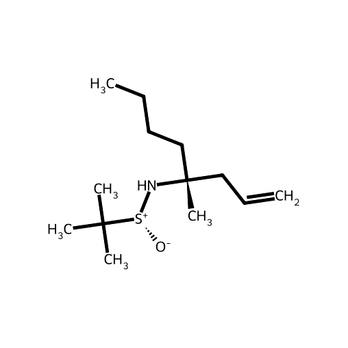 C=CC[C@@](C)(CCCC)N[S@+]([O-])C(C)(C)C